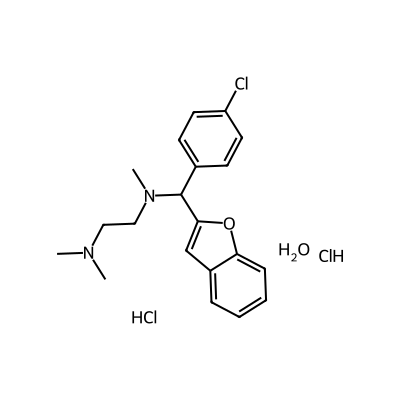 CN(C)CCN(C)C(c1ccc(Cl)cc1)c1cc2ccccc2o1.Cl.Cl.O